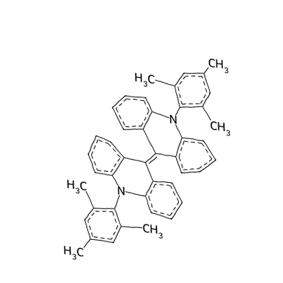 Cc1cc(C)c(N2c3ccccc3C(=C3c4ccccc4N(c4c(C)cc(C)cc4C)c4ccccc43)c3ccccc32)c(C)c1